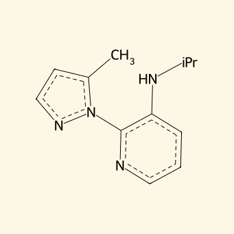 Cc1ccnn1-c1ncccc1NC(C)C